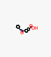 O=C(/C=C/c1ccccc1)c1ccc2c(c1)CC(C(=O)O)C2